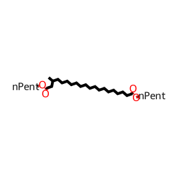 CCCCCOC(=O)CCCCCCCCCCCCCCCCC(C)CC(=O)OCCCCC